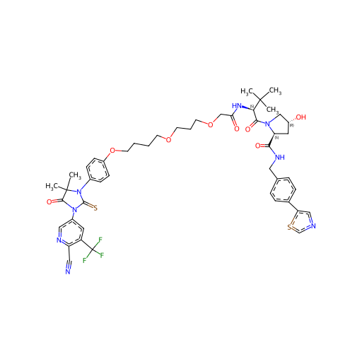 CC(C)(C)[C@H](NC(=O)COCCCOCCCCOc1ccc(N2C(=S)N(c3cnc(C#N)c(C(F)(F)F)c3)C(=O)C2(C)C)cc1)C(=O)N1C[C@H](O)C[C@H]1C(=O)NCc1ccc(-c2cncs2)cc1